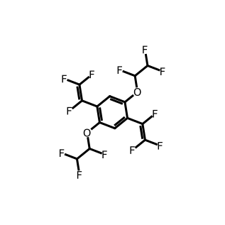 FC(F)=C(F)c1cc(OC(F)C(F)F)c(C(F)=C(F)F)cc1OC(F)C(F)F